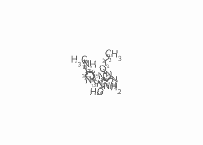 CCCCOc1nc(N)c2c(n1)N(Cc1ccc(CNC)cn1)C(O)N2